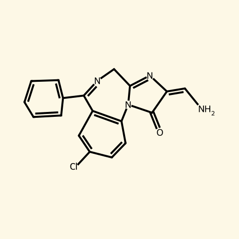 NC=C1N=C2CN=C(c3ccccc3)c3cc(Cl)ccc3N2C1=O